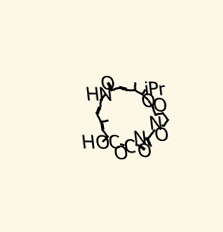 CC1=C\C(O)CC(=O)Cc2nc(co2)C(=O)N2CCCC2C(=O)OC(C(C)C)C(C)/C=C/C(=O)NC\C=C\1